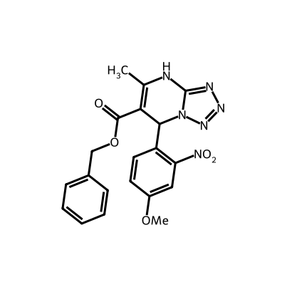 COc1ccc(C2C(C(=O)OCc3ccccc3)=C(C)Nc3nnnn32)c([N+](=O)[O-])c1